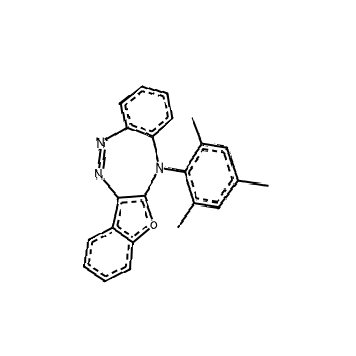 Cc1cc(C)c(N2c3ccccc3N=Nc3c2oc2ccccc32)c(C)c1